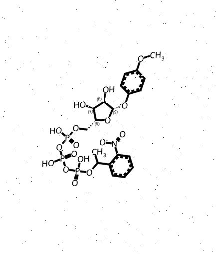 COc1ccc(O[C@@H]2O[C@H](COP(=O)(O)OP(=O)(O)OP(=O)(O)OC(C)c3ccccc3[N+](=O)[O-])[C@@H](O)[C@H]2O)cc1